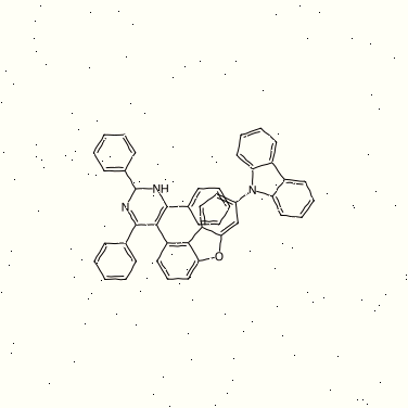 c1ccc(C2=NC(c3ccccc3)NC(c3ccccc3)=C2c2cccc3oc4cc(-n5c6ccccc6c6ccccc65)ccc4c23)cc1